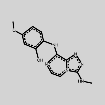 CNc1nnc2c(Nc3ccc(OC)cc3O)nccn12